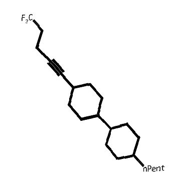 CCCCCC1CCC(C2CCC(C#CCCC(F)(F)F)CC2)CC1